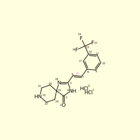 Cl.Cl.O=C1NC(/C=C/c2cccc(C(F)(F)F)c2)=NC12CCNCC2